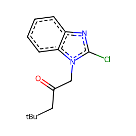 CC(C)(C)CC(=O)Cn1c(Cl)nc2ccccc21